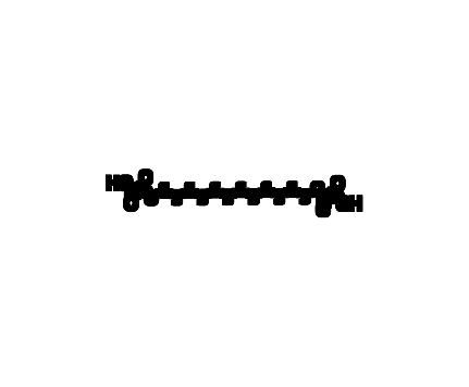 [O]=[Mo](=[O])([OH])[O]SSSSSSSSSSSS[O][Mo](=[O])(=[O])[OH]